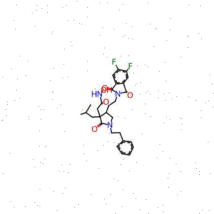 CC(C)CC1(CC(=O)NO)C(=O)N(CCc2ccccc2)CC1CCN1C(=O)c2cc(F)c(F)cc2C1=O